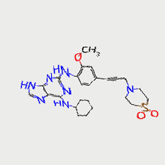 COc1cc(C#CCN2CCS(=O)(=O)CC2)ccc1Nc1nc(NC2CCCCC2)c2nc[nH]c2n1